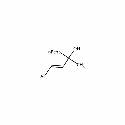 CCCCCC(C)(O)/C=C/C(C)=O